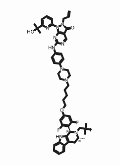 C=CCn1c(=O)c2cnc(Nc3ccc(N4CCN(CCCCCOc5cc(F)c([C@@H]6c7[nH]c8ccccc8c7C[C@@H](C)N6CC(C)(C)F)c(F)c5)CC4)cc3)nc2n1-c1cccc(C(C)(C)O)n1